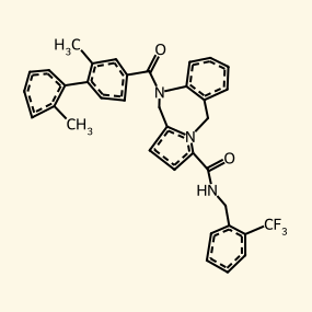 Cc1ccccc1-c1ccc(C(=O)N2Cc3ccc(C(=O)NCc4ccccc4C(F)(F)F)n3Cc3ccccc32)cc1C